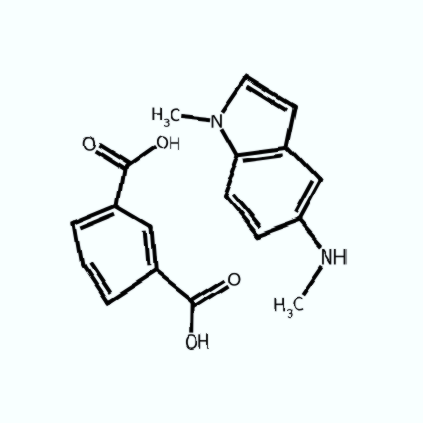 CNc1ccc2c(ccn2C)c1.O=C(O)c1cccc(C(=O)O)c1